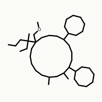 CCCC(C)(CC)C1(COC)CCCCCC(C)CC(C)C(C2CCCCCCC2)CCCC(C2CCCCCCC2)CCC1